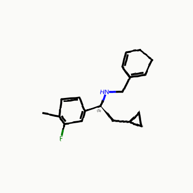 Cc1ccc([C@H](CC2CC2)NCC2=CCCC=C2)cc1F